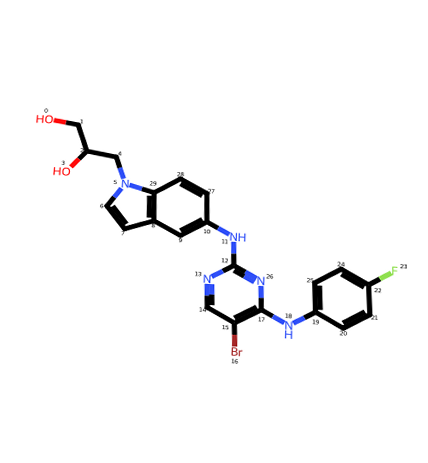 OCC(O)Cn1ccc2cc(Nc3ncc(Br)c(Nc4ccc(F)cc4)n3)ccc21